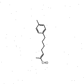 C/C(C=O)=C\CCCCc1ccc(C)cc1